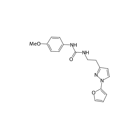 COc1ccc(NC(=O)NCCc2ccn(-c3ccco3)n2)cc1